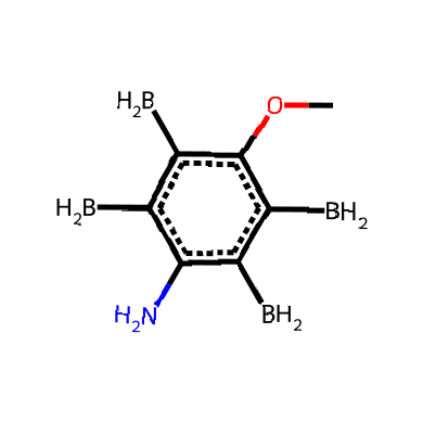 Bc1c(B)c(OC)c(B)c(B)c1N